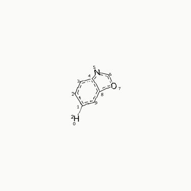 [2H]c1ccc2ncoc2c1